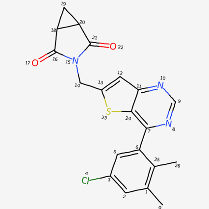 Cc1cc(Cl)cc(-c2ncnc3cc(CN4C(=O)C5CC5C4=O)sc23)c1C